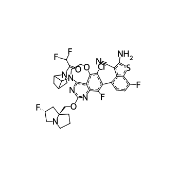 N#Cc1c(N)sc2c(F)ccc(-c3c(Cl)c4c5c(nc(OC[C@@]67CCCN6C[C@H](F)C7)nc5c3F)N(C3C5CC3N(C(=O)C(F)F)C5)CCO4)c12